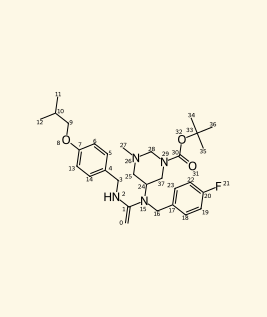 C=C(NCc1ccc(OCC(C)C)cc1)N(Cc1ccc(F)cc1)C1CN(C)CN(C(=O)OC(C)(C)C)C1